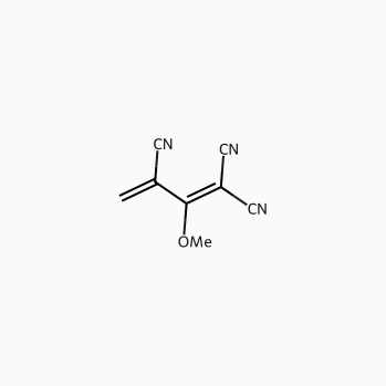 C=C(C#N)C(OC)=C(C#N)C#N